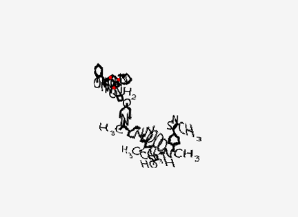 Cc1ncsc1-c1ccc([C@H](C)NC(=O)[C@@H]2C[C@@H](O)CN2C(=O)[C@H](c2cc(N3CCC(C(C)N4CCC(O[C@H]5C[C@H](Oc6cc(N7C8CCC7CN(c7cc(-c9ccccc9O)nnc7N)C8)ccn6)C5)CC4)CC3)no2)C(C)C)cc1